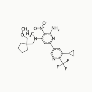 COCC1(CN(C)c2cc(-c3cnc(C(F)(F)F)c(C4CC4)c3)nc(N)c2[N+](=O)[O-])CCCC1